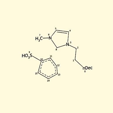 CCCCCCCCCCCCN1C=CN(C)C1.O=S(=O)(O)c1ccccc1